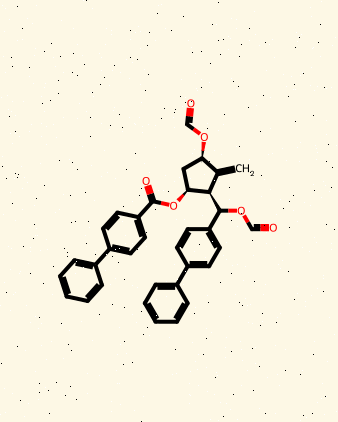 C=C1[C@H](OC=O)C[C@H](OC(=O)c2ccc(-c3ccccc3)cc2)[C@@H]1C(OC=O)c1ccc(-c2ccccc2)cc1